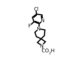 O=C(O)N1CC2(CCN(c3ncc(Cl)cc3F)CC2)C1